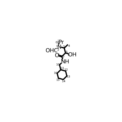 CC(C)N(C=O)C(C)C(O)C(=O)NCC1CCCCC1